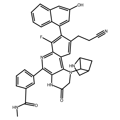 CNC(=O)c1cccc(-c2nc3c(F)c(-c4cc(O)cc5ccccc45)c(CCC#N)cc3c3c2NC(=O)CN3C2C3CNC2C3)c1